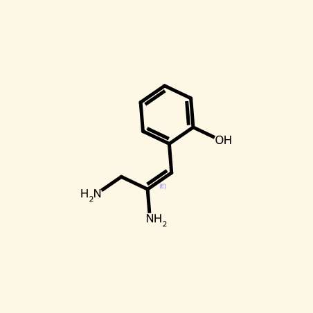 NC/C(N)=C\c1ccccc1O